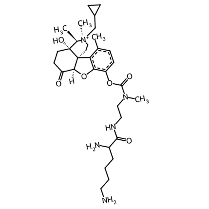 Cc1ccc(OC(=O)N(C)CCNC(=O)C(N)CCCCN)c2c1[C@]13CC[N@+](C)(CC4CC4)[C@H](C)[C@]1(O)CCC(=O)[C@@H]3O2